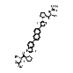 COC(=O)N[C@H](C(=O)N1CCC[C@H]1c1ncc(-c2ccc3cc(-c4ccc5nc([C@@H]6CCCN6C(=O)[C@@H](NC(=O)OC)C(C)C)[nH]c5c4)ccc3c2)[nH]1)C(C)C